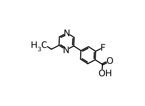 CCc1cncc(-c2ccc(C(=O)O)c(F)c2)n1